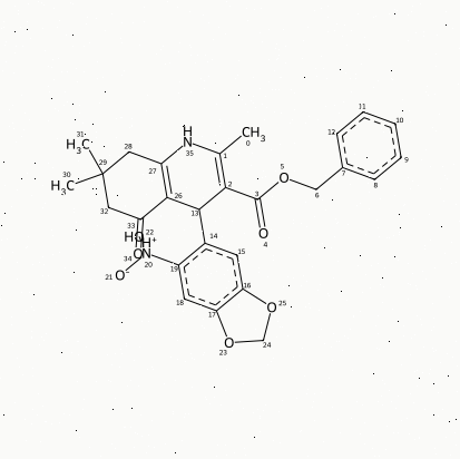 CC1=C(C(=O)OCc2ccccc2)C(c2cc3c(cc2[NH+]([O-])O)OCO3)C2=C(CC(C)(C)CC2=O)N1